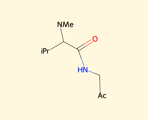 CNC(C(=O)NCC(C)=O)C(C)C